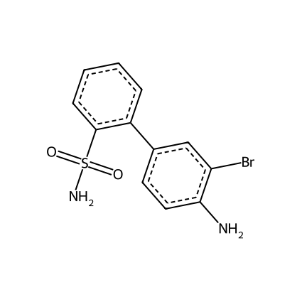 Nc1ccc(-c2ccccc2S(N)(=O)=O)cc1Br